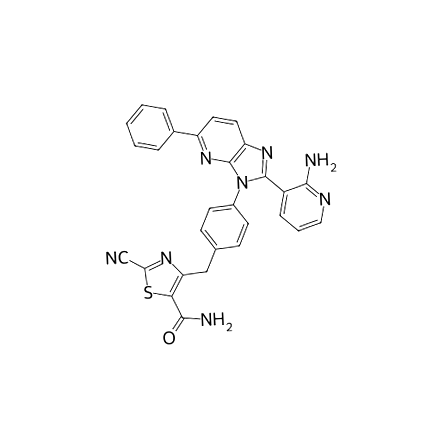 N#Cc1nc(Cc2ccc(-n3c(-c4cccnc4N)nc4ccc(-c5ccccc5)nc43)cc2)c(C(N)=O)s1